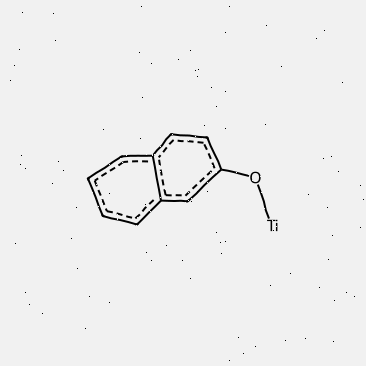 [Ti][O]c1ccc2ccccc2c1